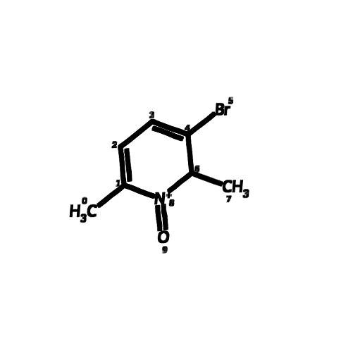 CC1=CC=C(Br)C(C)[N+]1=O